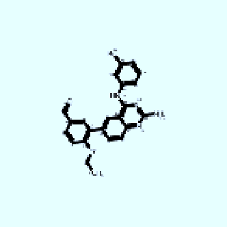 CCOc1ccc(C=O)cc1-c1ccc2nc(N)nc(Nc3cccc(Br)c3)c2c1